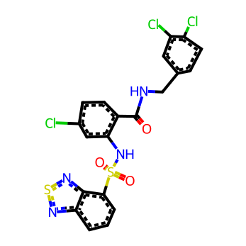 O=C(NCc1ccc(Cl)c(Cl)c1)c1ccc(Cl)cc1NS(=O)(=O)c1cccc2nsnc12